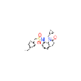 CCc1ccc(CS(=O)(=O)Nc2cccc3c2N(CC2CC2)C(=O)CC3)cc1